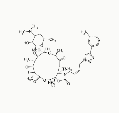 CC[C@H]1OC(=O)[C@@](C)(F)C(=O)[C@H](C)[C@@H](O[C@@H]2OC(C)CC(N(C)C)C2O)[C@](C)(OC)C[C@@H](C)C(=O)[C@H](C)[C@H]2N(C/C=C\Cn3cc(-c4cccc(N)c4)nn3)C(=O)O[C@]12C